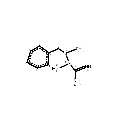 CB(Cc1ccccc1)N(C)C(=N)N